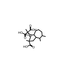 CC1CCCC(CC(C)(C(=O)O)C(=O)O)C(CC(C)(C(=O)O)C(=O)O)C1C